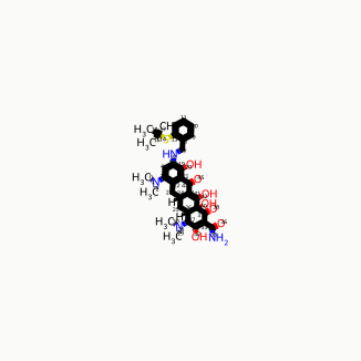 CN(C)c1cc(NCc2ccccc2SC(C)(C)C)c(O)c2c1C[C@H]1C[C@H]3C(N(C)C)C(O)=C(C(N)=O)C(=O)[C@@]3(O)C(O)=C1C2=O